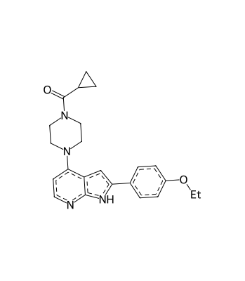 CCOc1ccc(-c2cc3c(N4CCN(C(=O)C5CC5)CC4)ccnc3[nH]2)cc1